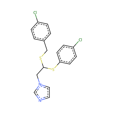 Clc1ccc(CSC(Cn2ccnc2)Sc2ccc(Cl)cc2)cc1